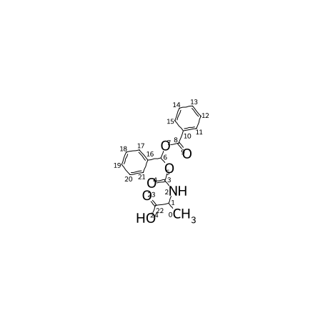 CC(NC(=O)OC(OC(=O)c1ccccc1)c1ccccc1)C(=O)O